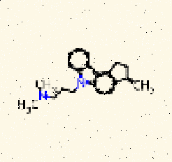 C=C1CCc2c1ccc1c2c2ccccc2n1CCCN(C)C